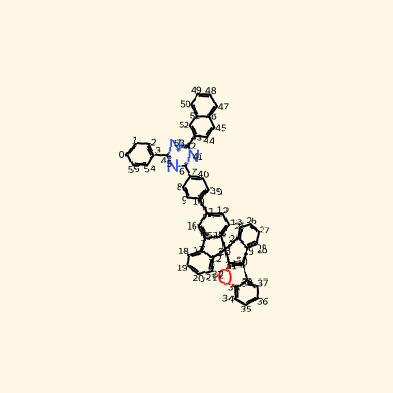 c1ccc(-c2nc(-c3ccc(-c4ccc5c(c4)-c4ccccc4C54c5ccccc5-c5c4oc4ccccc54)cc3)nc(-c3ccc4ccccc4c3)n2)cc1